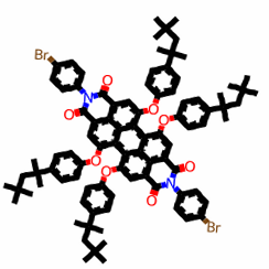 CC(C)(C)CC(C)(C)c1ccc(Oc2cc3c4c(cc(Oc5ccc(C(C)(C)CC(C)(C)C)cc5)c5c6c(Oc7ccc(C(C)(C)CC(C)(C)C)cc7)cc7c8c(cc(Oc9ccc(C(C)(C)CC(C)(C)C)cc9)c(c2c45)c86)C(=O)N(c2ccc(Br)cc2)C7=O)C(=O)N(c2ccc(Br)cc2)C3=O)cc1